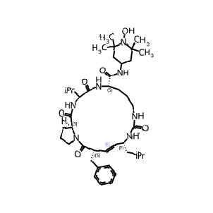 CC(C)C[C@@H]1/C=C/[C@H](Cc2ccccc2)C(=O)N2CCC[C@H]2C(=O)NC(C(C)C)C(=O)N[C@H](C(=O)NC2CC(C)(C)N(O)C(C)(C)C2)CCCNC(=O)N1